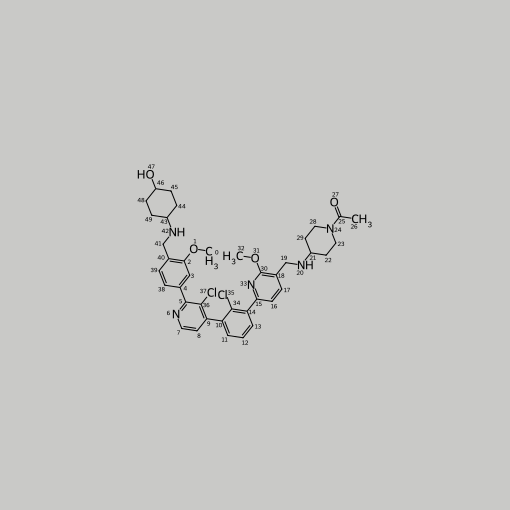 COc1cc(-c2nccc(-c3cccc(-c4ccc(CNC5CCN(C(C)=O)CC5)c(OC)n4)c3Cl)c2Cl)ccc1CNC1CCC(O)CC1